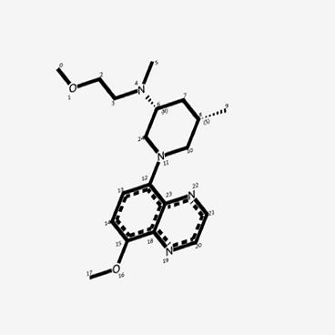 COCCN(C)[C@@H]1C[C@H](C)CN(c2ccc(OC)c3nccnc23)C1